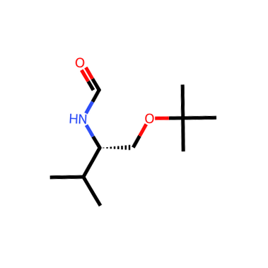 CC(C)[C@@H](COC(C)(C)C)NC=O